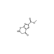 COC(=O)c1cc2c(s1)SNCC2=O